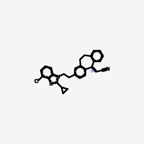 N#C/C=C1\c2ccccc2CCc2cc(CCn3c(C4CC4)nc4c(Cl)cccc43)ccc21